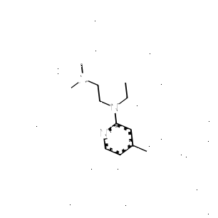 CCN(CCN(C)C)c1cc(C)ccn1